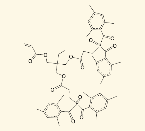 C=CC(=O)OCC(CC)(COC(=O)CCP(=O)(C(=O)c1c(C)cc(C)cc1C)C(=O)c1c(C)cc(C)cc1C)COC(=O)CCP(=O)(C(=O)c1c(C)cc(C)cc1C)C(=O)c1c(C)cc(C)cc1C